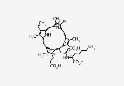 C=Cc1c(C)c2cc3nc(c(CC(=O)N[C@@H](CCCCN)C(=O)O)c4nc(cc5[nH]c(cc1[nH]2)c(C)c5CC)C(C)=C4C(=O)O)[C@@H](CCC(=O)O)[C@@H]3C